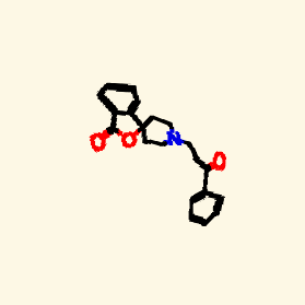 O=C(CCN1CCC2(CC1)OC(=O)c1ccccc12)c1ccccc1